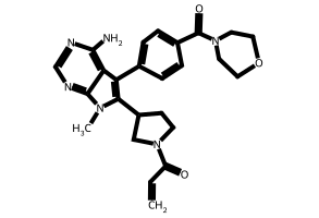 C=CC(=O)N1CCC(c2c(-c3ccc(C(=O)N4CCOCC4)cc3)c3c(N)ncnc3n2C)C1